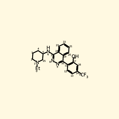 CCN1CCCC(Nc2nnc(-c3ccc(C(F)(F)F)cc3O)c3ccccc23)C1